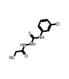 N#CCC(=O)NNC(=S)Nc1cccc(Cl)c1